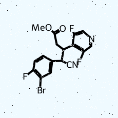 COC(=O)CC(c1c(F)cncc1F)C(C#N)c1ccc(F)c(Br)c1